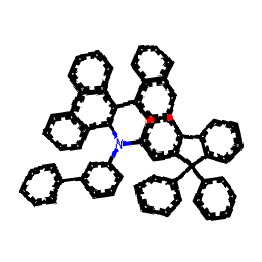 c1ccc(-c2cccc(N(c3ccc4c(c3)C(c3ccccc3)(c3ccccc3)c3ccccc3-4)c3c(-c4cccc5ccccc45)c4ccccc4c4ccccc34)c2)cc1